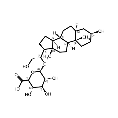 C[C@]12CC[C@H](O)C[C@@H]1CC[C@@H]1[C@@H]2CC[C@]2(C)[C@@H]([C@@H](CO)O[C@@H]3O[C@H](C(=O)O)[C@@H](O)[C@H](O)[C@H]3O)CC[C@@H]12